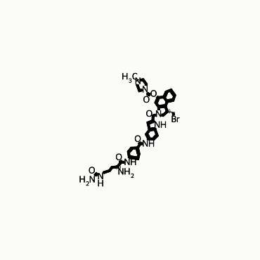 CN1CCN(C(=O)Oc2cc3c(c4ccccc24)[C@H](CBr)CN3C(=O)c2cc3cc(NC(=O)c4ccc(NC(=O)[C@@H](N)CCCNC(N)=O)cc4)ccc3[nH]2)CC1